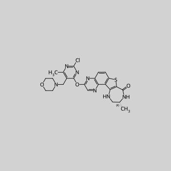 Cc1nc(Cl)nc(Oc2cnc3c(ccc4sc5c(c43)NC[C@@H](C)NC5=O)n2)c1CN1CCOCC1